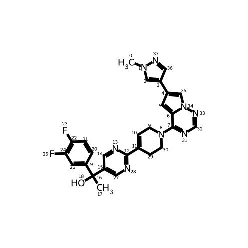 Cn1cc(-c2cc3c(N4CC=C(c5ncc(C(C)(O)c6ccc(F)c(F)c6)cn5)CC4)ncnn3c2)cn1